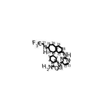 NC(=O)[C@@H]1CCCC[C@H]1N(Cl)c1ccnc(Nc2ccc3c(c2)CCC(NCC(F)(F)F)CC3)n1